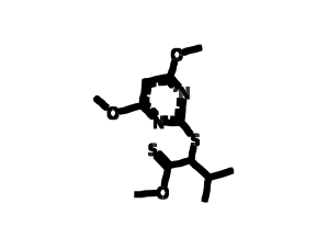 COC(=S)C(Sc1nc(OC)cc(OC)n1)C(C)C